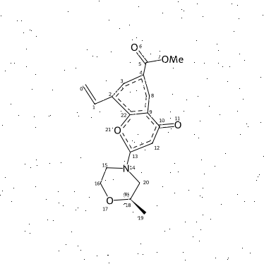 C=Cc1cc(C(=O)OC)cc2c(=O)cc(N3CCO[C@H](C)C3)oc12